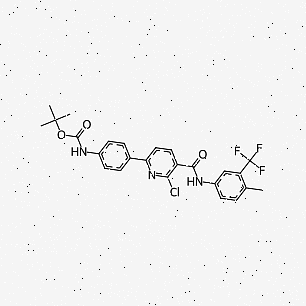 Cc1ccc(NC(=O)c2ccc(-c3ccc(NC(=O)OC(C)(C)C)cc3)nc2Cl)cc1C(F)(F)F